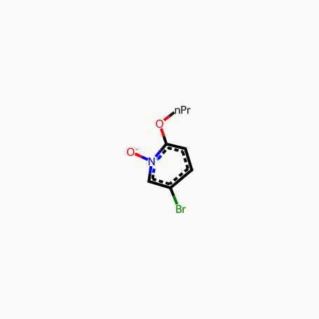 CCCOc1ccc(Br)c[n+]1[O-]